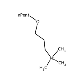 CCCCCOCCC[N+](C)(C)C